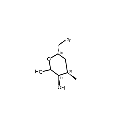 CC(C)C[C@@H]1C[C@@H](C)[C@@H](O)C(O)O1